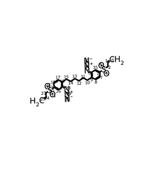 C=CCS(=O)(=O)c1ccc(CCCCCCc2ccc(S(=O)(=O)CC=C)cc2N=[N+]=[N-])c(N=[N+]=[N-])c1